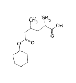 CC(CC(=O)OC1CCCCC1)C[C@H](N)C(=O)O